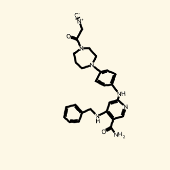 [C-]#[N+]CC(=O)N1CCCN(c2ccc(Nc3cc(NCc4ccccc4)c(C(N)=O)cn3)cc2)CC1